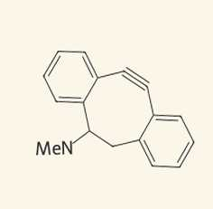 CNC1Cc2ccccc2C#Cc2ccccc21